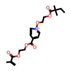 C=C(C)C(=O)OCCOC(=O)c1cc[n+](OCCOC(=O)C(C)(C)CC)cc1